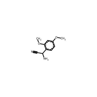 COc1ccc(C(N)C#N)c(OC)c1